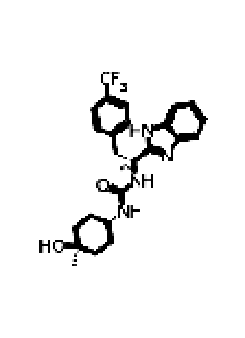 C[C@]1(O)CC[C@H](NC(=O)N[C@H](Cc2ccc(C(F)(F)F)cc2)c2nc3ccccc3[nH]2)CC1